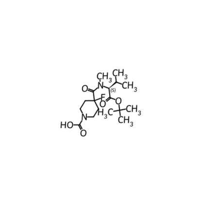 CC(C)[C@@H](C(=O)OC(C)(C)C)N(C)C(=O)C1(F)CCN(C(=O)O)CC1